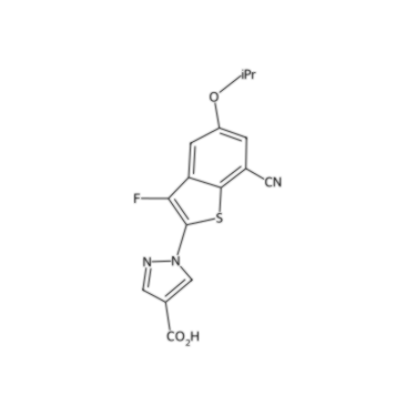 CC(C)Oc1cc(C#N)c2sc(-n3cc(C(=O)O)cn3)c(F)c2c1